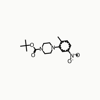 Cc1ccc([N+](=O)[O-])cc1N1CCN(C(=O)OC(C)(C)C)CC1